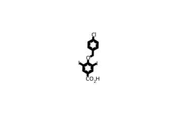 O=C(O)c1cc(I)c(OCc2ccc(Cl)cc2)c(I)c1